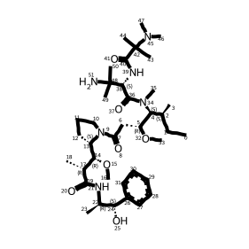 CC[C@H](C)[C@@H]([C@@H](CC(=O)N1CCC[C@H]1[C@H](OC)[C@@H](C)C(=O)N[C@H](C)[C@@H](O)c1ccccc1)OC)N(C)C(=O)[C@@H](NC(=O)C(C)(C)N(C)C)C(C)(C)N